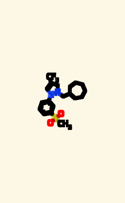 CS(=O)(=O)c1cccc(N2C=C(C(F)(F)F)CN2CC2CCCCCC2)c1